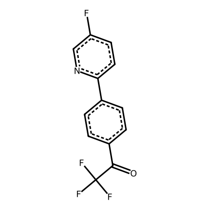 O=C(c1ccc(-c2ccc(F)cn2)cc1)C(F)(F)F